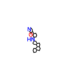 c1ccc2c(c1)ccc1ccc3cc(Nc4cccc5c4oc4cnccc45)ccc3c12